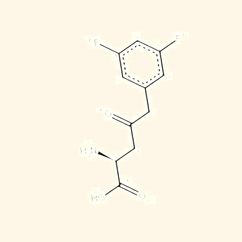 N[C@@H](CC(=O)Cc1cc(F)cc(F)c1)C(=O)O